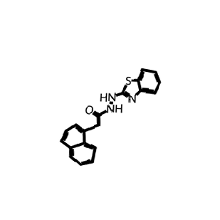 O=C(Cc1cccc2ccccc12)NNc1nc2ccccc2s1